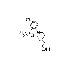 NC(=O)c1cc(Cl)ccc1N1CCC(CCO)CC1